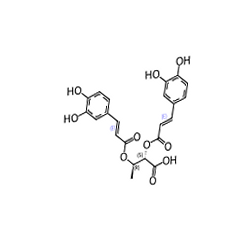 C[C@@H](OC(=O)/C=C/c1ccc(O)c(O)c1)[C@H](OC(=O)/C=C/c1ccc(O)c(O)c1)C(=O)O